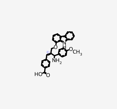 COc1ccc(C(N)/C(=C\c2ccc(C(=O)O)cc2)COc2cccc3c2[nH]c2ccccc23)cc1